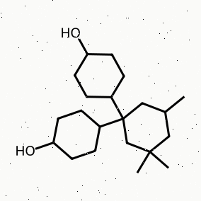 CC1CC(C)(C)CC(C2CCC(O)CC2)(C2CCC(O)CC2)C1